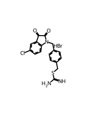 Br.N=C(N)SCc1ccc(CN2C(=O)C(=O)c3cc(Cl)ccc32)cc1